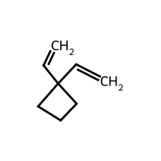 C=CC1(C=C)CCC1